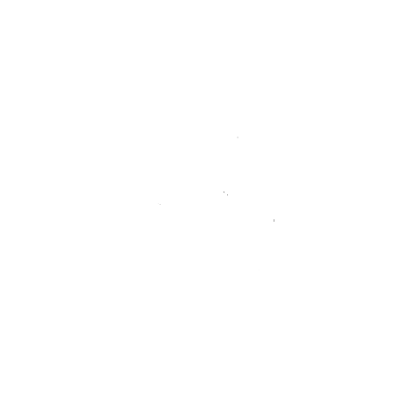 CCCCCCC(=O)O.OCCN(CCO)CCO